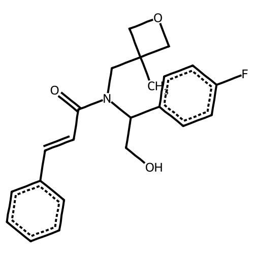 CC1(CN(C(=O)/C=C/c2ccccc2)C(CO)c2ccc(F)cc2)COC1